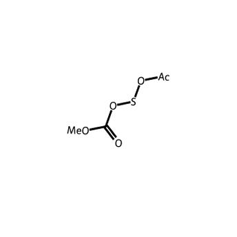 COC(=O)OSOC(C)=O